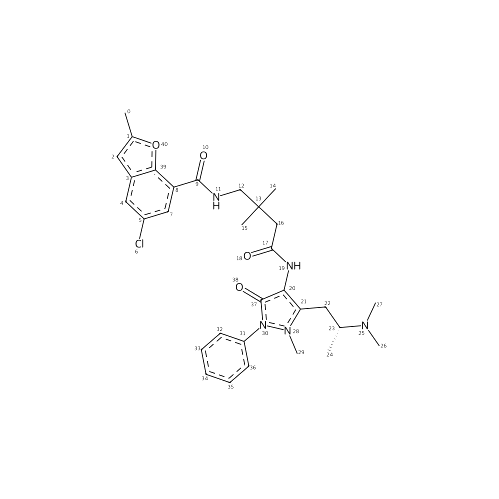 Cc1cc2cc(Cl)cc(C(=O)NCC(C)(C)CC(=O)Nc3c(C[C@@H](C)N(C)C)n(C)n(-c4ccccc4)c3=O)c2o1